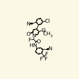 COc1cn(C(F)C(=O)Nc2ccc(C(F)(F)F)c(C#N)c2)c(=O)cc1-c1cc(Cl)ccc1C#N